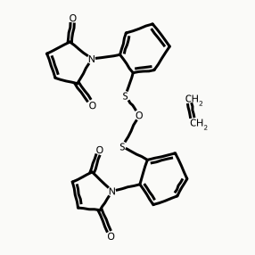 C=C.O=C1C=CC(=O)N1c1ccccc1SOSc1ccccc1N1C(=O)C=CC1=O